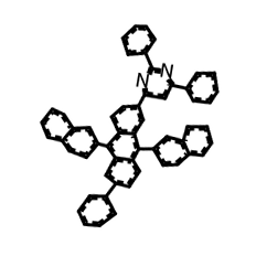 c1ccc(-c2ccc3c(-c4ccc5ccccc5c4)c4cc(-c5cc(-c6ccccc6)nc(-c6ccccc6)n5)ccc4c(-c4ccc5ccccc5c4)c3c2)cc1